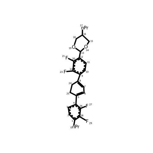 CCCc1ccc(C2=CC=C(c3ccc(C4OCC(CCC)CO4)c(F)c3F)CC2)c(F)c1F